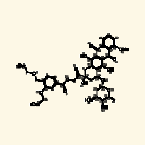 CCCCCCCCCCCOCc1ccc(C(=O)OCC(=O)[C@]2(O)Cc3c(O)c4c(c(O)c3[C@@H](O[C@H]3C[C@H](N)[C@H](O)[C@H](C)O3)C2)C(=O)c2c(OC)cccc2C4=O)cc1OCCCCCCCCCCC